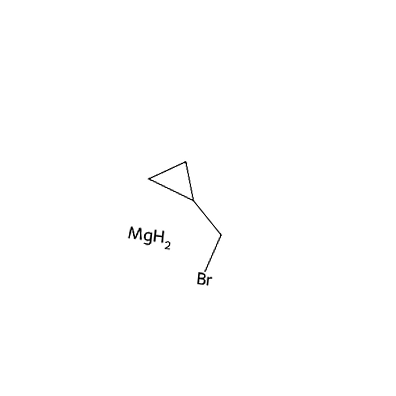 BrCC1CC1.[MgH2]